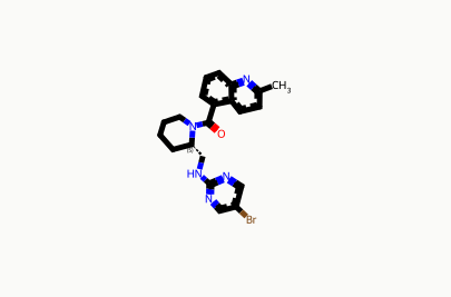 Cc1ccc2c(C(=O)N3CCCC[C@H]3CNc3ncc(Br)cn3)cccc2n1